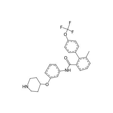 Cc1cccc(C(=O)Nc2cccc(OC3CCNCC3)c2)c1-c1ccc(OC(F)(F)F)cc1